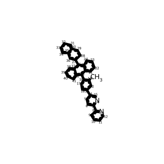 Cc1cc(-c2ccc(-c3ccccn3)nc2)ccc1-c1c2ccccc2c(-c2ccc3ccccc3c2)c2ccccc12